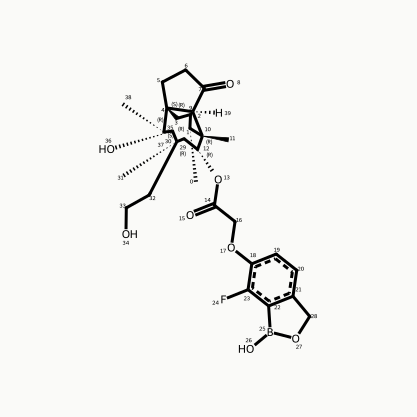 C[C@@H]1CC[C@@]23CCC(=O)[C@H]2[C@]1(C)[C@H](OC(=O)COc1ccc2c(c1F)B(O)OC2)C[C@@](C)(CCO)[C@@H](O)[C@@H]3C